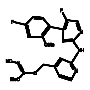 COc1cc(F)ccc1-c1cc(Nc2cc(COS(=NC#N)OC)ccn2)ncc1F